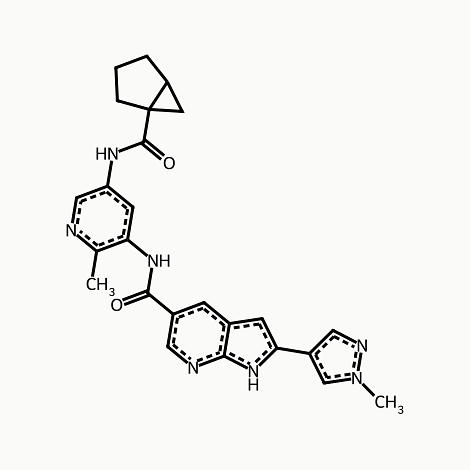 Cc1ncc(NC(=O)C23CCCC2C3)cc1NC(=O)c1cnc2[nH]c(-c3cnn(C)c3)cc2c1